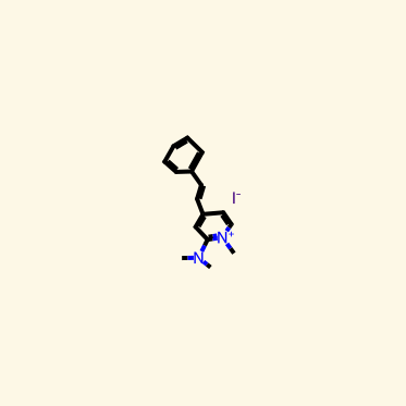 CN(C)c1cc(C=Cc2ccccc2)cc[n+]1C.[I-]